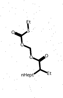 CCCCCCCC(CC)C(=O)OCOC(=O)SCC